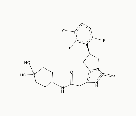 O=C(Cc1[nH]c(=S)n2c1C[C@@H](c1c(F)ccc(Cl)c1F)C2)NC1CCS(O)(O)CC1